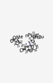 CCCC(CC(=O)/C=C/[C@@H]1[C@@H](CCCc2ccc(C(=O)OC)s2)[C@H](Cl)C[C@H]1OC1CCCCO1)O[Si](C)(C)C(C)(C)C